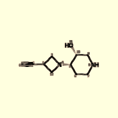 C#CC1CN([C@H]2CCNC[C@H]2O)C1